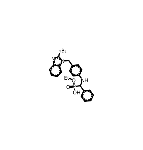 CCCCc1nc2ccccc2n1Cc1ccc(NC(c2ccccc2)P(=O)(O)OCC)cc1